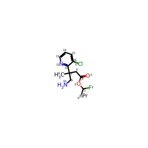 CCCC(F)OC(=O)CC(C)(CN)c1ncccc1Cl